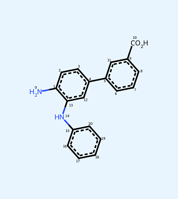 Nc1ccc(-c2cccc(C(=O)O)c2)cc1Nc1ccccc1